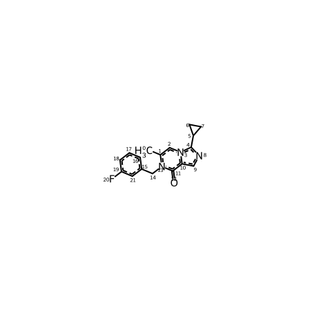 Cc1cn2c(C3CC3)ncc2c(=O)n1Cc1cccc(F)c1